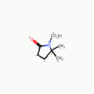 CCOC(=O)N1C(=O)CCC1(C)C